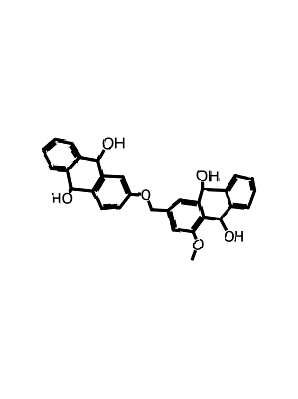 COc1cc(COc2ccc3c(c2)C(O)c2ccccc2C3O)cc2c1C(O)c1ccccc1C2O